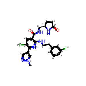 Cn1cc(-c2nc(NCCc3cccc(F)c3)c(C(=O)NC[C@H]3CCC(=O)N3)cc2F)cn1